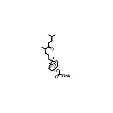 COC(=O)C[C@@]12CC[C@@H](O1)[C@](C)(CCCC(C)C(=O)CC=C(C)C)OC2